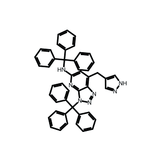 c1ccc(C(Nc2cc(Cc3cn[nH]c3)c3nnn(C(c4ccccc4)(c4ccccc4)c4ccccc4)c3n2)(c2ccccc2)c2ccccc2)cc1